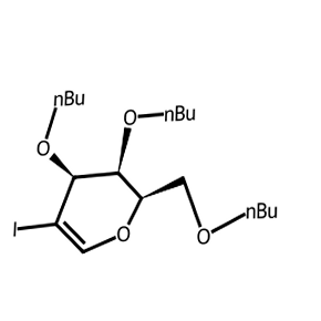 CCCCOC[C@H]1OC=C(I)[C@@H](OCCCC)[C@H]1OCCCC